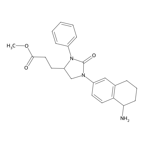 COC(=O)CCC1CN(c2ccc3c(c2)CCCC3N)C(=O)N1c1ccccc1